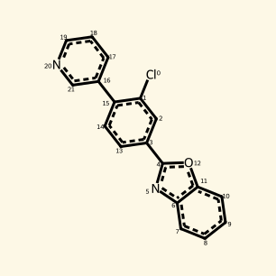 Clc1cc(-c2nc3ccccc3o2)ccc1-c1cccnc1